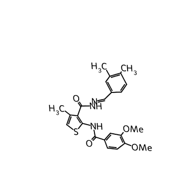 COc1ccc(C(=O)Nc2scc(C)c2C(=O)NN=Cc2ccc(C)c(C)c2)cc1OC